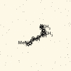 CN[C@@H]1CCc2ccc(OCC(=O)NCCOCCNC(=O)C[C@H](C)c3ccc(-c4scnc4C)cc3)cc21